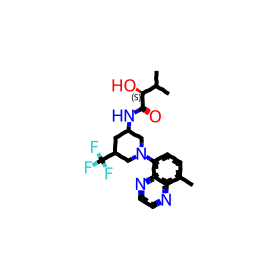 Cc1ccc(N2CC(NC(=O)[C@@H](O)C(C)C)CC(C(F)(F)F)C2)c2nccnc12